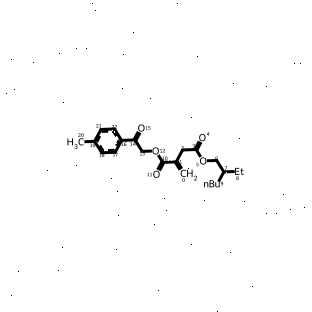 C=C(CC(=O)OCC(CC)CCCC)C(=O)OCC(=O)c1ccc(C)cc1